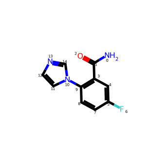 NC(=O)c1cc(F)ccc1-n1ccnc1